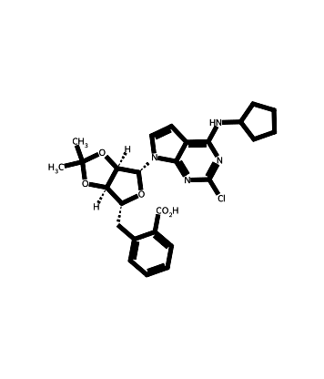 CC1(C)O[C@@H]2[C@H](O1)[C@@H](Cc1ccccc1C(=O)O)O[C@H]2n1ccc2c(NC3CCCC3)nc(Cl)nc21